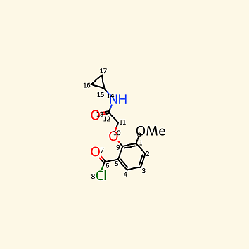 COc1cccc(C(=O)Cl)c1OCC(=O)NC1CC1